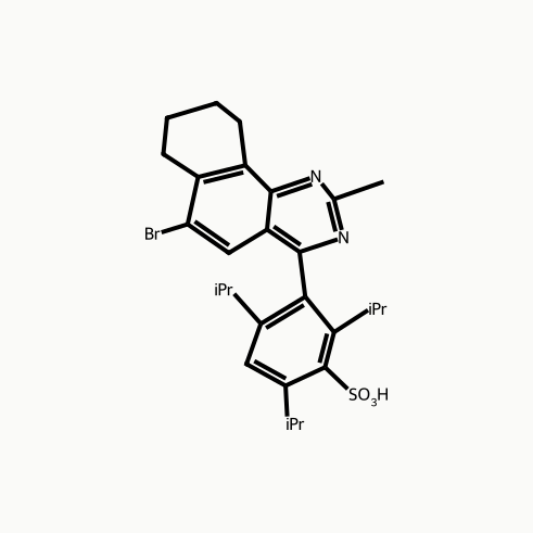 Cc1nc(-c2c(C(C)C)cc(C(C)C)c(S(=O)(=O)O)c2C(C)C)c2cc(Br)c3c(c2n1)CCCC3